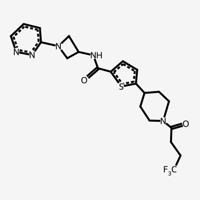 O=C(NC1CN(c2cccnn2)C1)c1ccc(C2CCN(C(=O)CCC(F)(F)F)CC2)s1